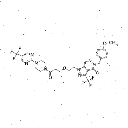 COc1ccc(Cn2ncc3c(c(C(F)(F)F)nn3CCOCCC(=O)N3CCN(c4ncc(C(F)(F)F)cn4)CC3)c2=O)cc1